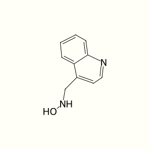 ONCc1ccnc2ccccc12